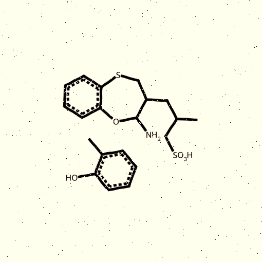 CC(CC1CSc2ccccc2OC1N)CS(=O)(=O)O.Cc1ccccc1O